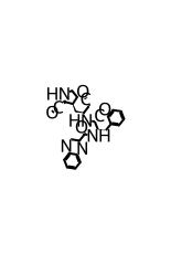 O=C=C[C@H](C[C@@H]1CCNC1=C=O)NC(=C=O)[C@H](Cc1ccccc1)NC(=O)c1cnc2ccccc2n1